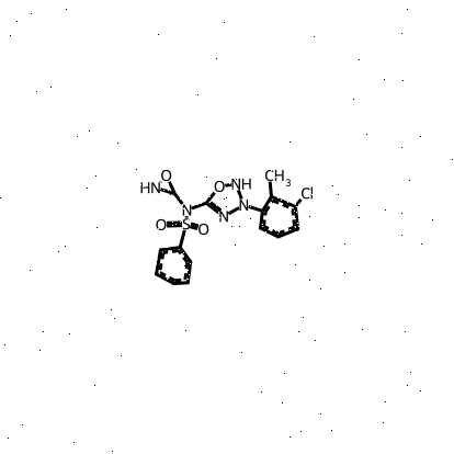 Cc1c(Cl)cccc1N1N=C(N(C2NO2)S(=O)(=O)c2ccccc2)ON1